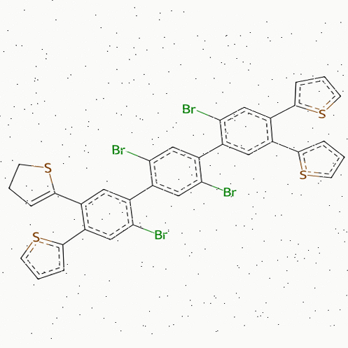 Brc1cc(-c2cc(-c3cccs3)c(-c3cccs3)cc2Br)c(Br)cc1-c1cc(C2=CCCS2)c(-c2cccs2)cc1Br